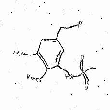 COc1c(N)cc(CC(C)C)cc1NS(C)(=O)=O